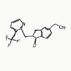 O=C1c2ccc(CO)cc2CC1Cc1ncccc1C(F)(F)F